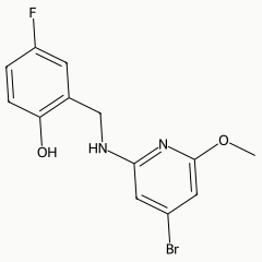 COc1cc(Br)cc(NCc2cc(F)ccc2O)n1